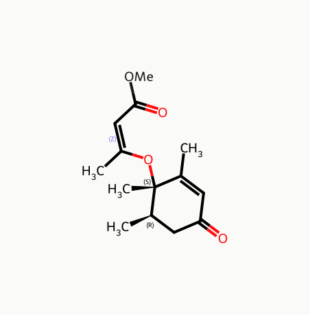 COC(=O)/C=C(/C)O[C@]1(C)C(C)=CC(=O)C[C@H]1C